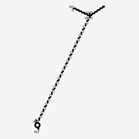 C=CCCCCCCCCCC(CCCCCCCCCCC(=O)O)(C(=O)O)C(=O)NCCOCCOCCOCCOCCOCCOCCOCCOCCOCCOCCOCCOCCOCCOCCOCCOCCOCCOCCOCCOCCOCCOCCOCCn1nnc2c1CCC1C(CC2)[C@H]1CO